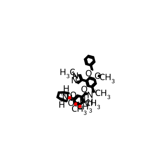 COc1cc([C@@H](C)NC(=O)c2cc(N3C[C@H]4CC[C@@H](C3)N4C(=O)OC(C)(C)C)ccc2C)cc(-c2cnn(C)c2)c1OCc1ccccc1